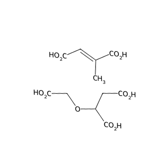 CC(=CC(=O)O)C(=O)O.O=C(O)COC(CC(=O)O)C(=O)O